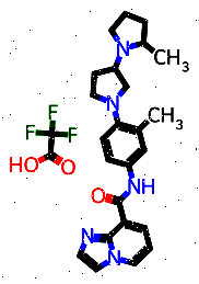 Cc1cc(NC(=O)c2cccn3ccnc23)ccc1N1CCC(N2CCCC2C)C1.O=C(O)C(F)(F)F